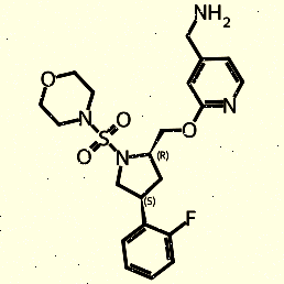 NCc1ccnc(OC[C@H]2C[C@@H](c3ccccc3F)CN2S(=O)(=O)N2CCOCC2)c1